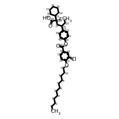 CCCCCCCCCCCCOc1ccc(C(=O)Oc2ccc(C(CC)C[C@@](F)(C(=O)O)C3CCCCC3)cc2)cc1Cl